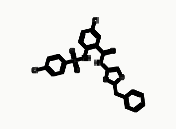 O=C(NC1=COC(Cc2ccccc2)O1)c1cc(Cl)ccc1NS(=O)(=O)c1ccc(Cl)cc1